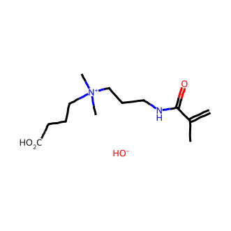 C=C(C)C(=O)NCCC[N+](C)(C)CCCC(=O)O.[OH-]